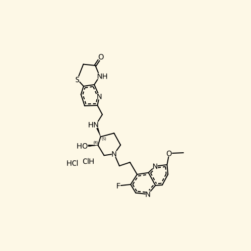 COc1ccc2ncc(F)c(CCN3CC[C@H](NCc4ccc5c(n4)NC(=O)CS5)[C@H](O)C3)c2n1.Cl.Cl